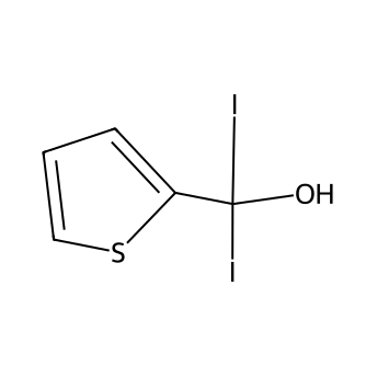 OC(I)(I)c1cccs1